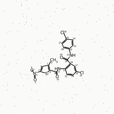 Cc1cc([N+](=O)[O-])sc1C(=O)Nc1ccc(Cl)cc1C(=O)Nc1ccc(Cl)cc1